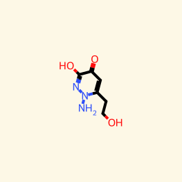 Nn1nc(O)c(=O)cc1CCO